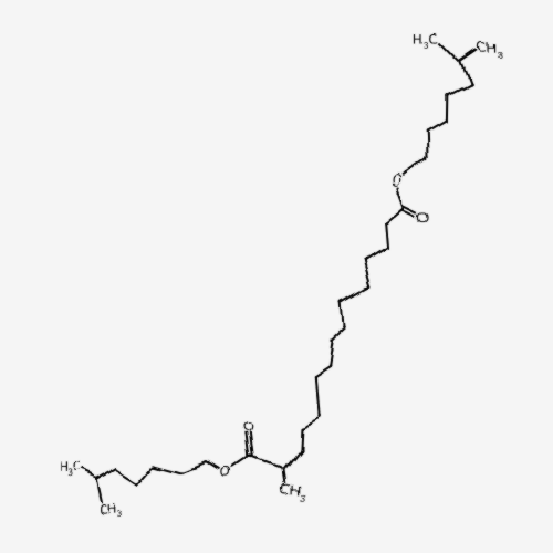 CC(C)CCCCCOC(=O)CCCCCCCCCCCCC(C)C(=O)OCCCCCC(C)C